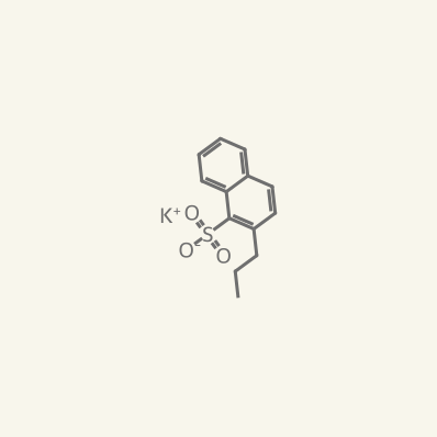 CCCc1ccc2ccccc2c1S(=O)(=O)[O-].[K+]